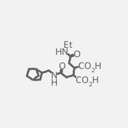 CCNC(=O)CC(C(=O)O)C(CC(=O)NCC1CC2CCC1C2)C(=O)O